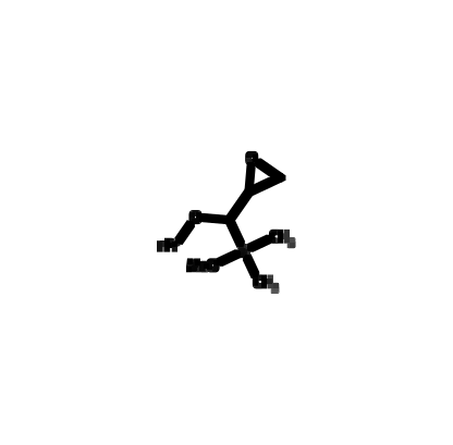 CCCOC(C1CO1)[Si](C)(C)OC